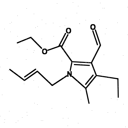 CC=CCn1c(C)c(CC)c(C=O)c1C(=O)OCC